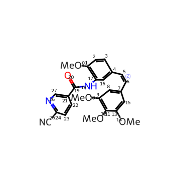 COc1ccc(/C=C\c2cc(OC)c(OC)c(OC)c2)cc1NC(=O)c1ccc(C#N)nc1